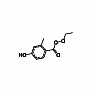 CCOOC(=O)c1ccc(O)cc1C